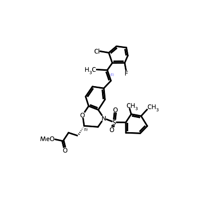 COC(=O)CC[C@H]1CN(S(=O)(=O)c2cccc(C)c2C)c2cc(/C=C(\C)c3c(F)cccc3Cl)ccc2O1